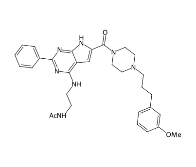 COc1cccc(CCCN2CCN(C(=O)c3cc4c(NCCNC(C)=O)nc(-c5ccccc5)nc4[nH]3)CC2)c1